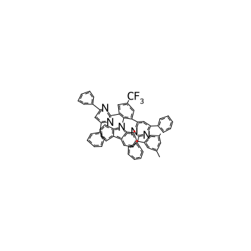 Cc1cc(C)cc(-c2ccc3c4ccccc4n(-c4c(-c5cc(-c6ccccc6)nc(-c6ccccc6)n5)cc(C(F)(F)F)cc4-c4nc(-c5ccccc5)cc(-c5ccccc5)n4)c3c2)c1